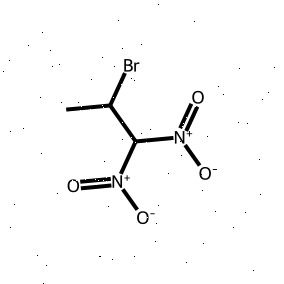 CC(Br)C([N+](=O)[O-])[N+](=O)[O-]